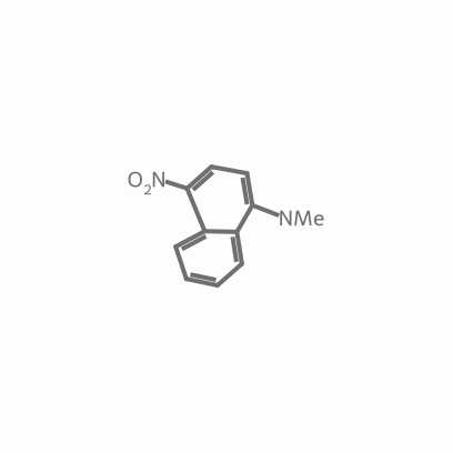 CNc1ccc([N+](=O)[O-])c2ccccc12